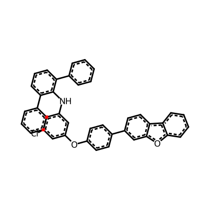 Clc1cc(Nc2c(-c3ccccc3)cccc2-c2ccccc2)cc(Oc2ccc(-c3ccc4c(c3)oc3ccccc34)cc2)c1